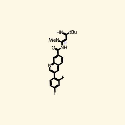 CN/C(=C\C(=N)C(C)(C)C)NC(=O)c1ccc2cc(-c3ccc(F)cc3F)cnc2c1